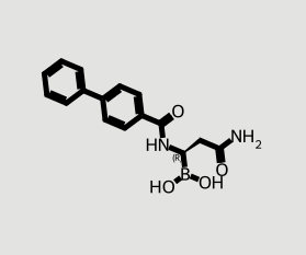 NC(=O)C[C@H](NC(=O)c1ccc(-c2ccccc2)cc1)B(O)O